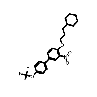 O=[N+]([O-])c1cc(-c2ccc(OC(F)(F)F)cc2)ccc1OCCCC1CCCCC1